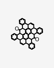 O=C1C2c3ccccc3C3C=CC4c5ccccc5C5C(=O)C6c7ccccc7C7C=CC8c9ccccc9C1c1c8c7c6c6c5c4c3c2c16